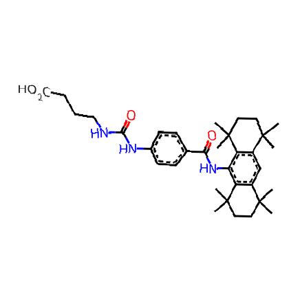 CC1(C)CCC(C)(C)c2c1cc1c(c2NC(=O)c2ccc(NC(=O)NCCCC(=O)O)cc2)C(C)(C)CCC1(C)C